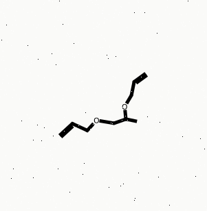 C=CCOC[C](C)OCC=C